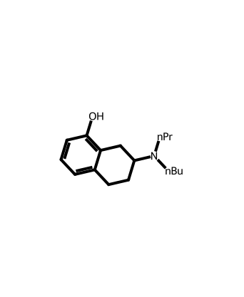 CCCCN(CCC)C1CCc2cccc(O)c2C1